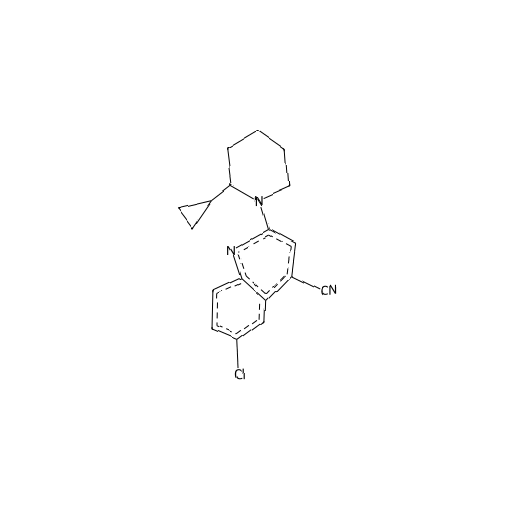 N#Cc1cc(N2CCCCC2C2CC2)nc2ccc(Cl)cc12